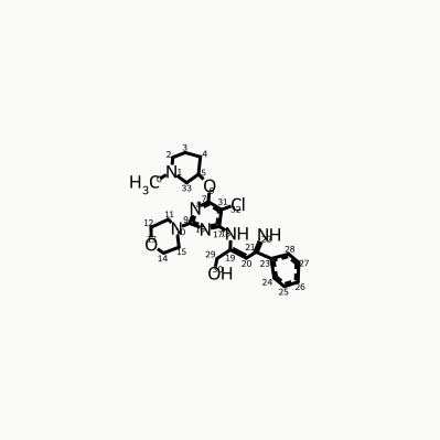 CN1CCCC(Oc2nc(N3CCOCC3)nc(N/C(=C\C(=N)c3ccccc3)CO)c2Cl)C1